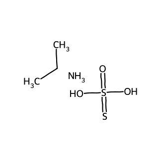 CCC.N.O=S(O)(O)=S